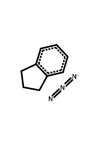 [N-]=[N+]=[N-].c1ccc2c(c1)CCC2